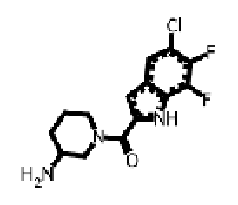 NC1CCCN(C(=O)c2cc3cc(Cl)c(F)c(F)c3[nH]2)C1